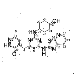 Cc1cc(Cc2cc(Nc3nc4cccnc4s3)nc(NC3CCC(O)CC3)n2)c(=O)[nH]n1